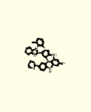 CCc1cc2c3c(c1)Nc1ccc(-c4nc5ccccc5n4-c4c(C)cccc4C)cc1B3c1cc(-c3ccccn3)ccc1N2